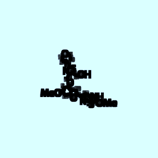 COc1cc(OCc2nc(N3CCOCC3)sc2CO)c2cc(-c3cn4c(n3)SC(OC)N4)oc2c1